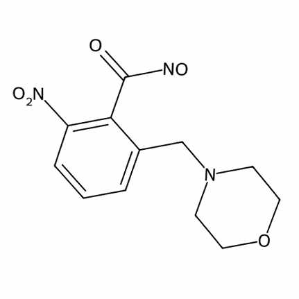 O=NC(=O)c1c(CN2CCOCC2)cccc1[N+](=O)[O-]